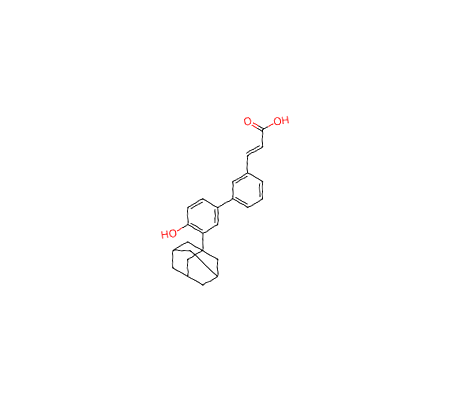 O=C(O)C=Cc1cccc(-c2ccc(O)c(C34CC5CC(CC(C5)C3)C4)c2)c1